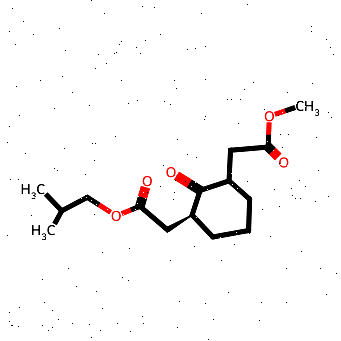 COC(=O)CC1CCC[C@@H](CC(=O)OCC(C)C)C1=O